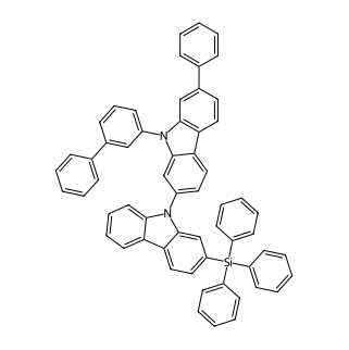 c1ccc(-c2cccc(-n3c4cc(-c5ccccc5)ccc4c4ccc(-n5c6ccccc6c6ccc([Si](c7ccccc7)(c7ccccc7)c7ccccc7)cc65)cc43)c2)cc1